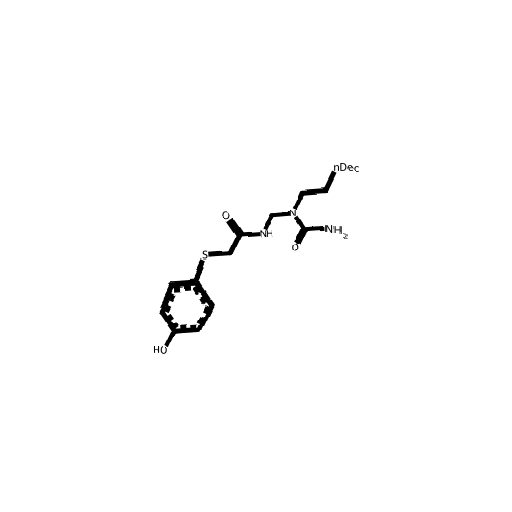 CCCCCCCCCCCCN(CNC(=O)CSc1ccc(O)cc1)C(N)=O